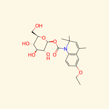 CCOc1ccc2c(c1)C(C)=CC(C)(C)N2C(=O)O[C@@H]1O[C@H](CO)[C@@H](O)[C@H](O)[C@H]1O